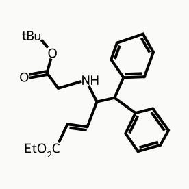 CCOC(=O)C=CC(NCC(=O)OC(C)(C)C)C(c1ccccc1)c1ccccc1